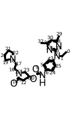 CCN(c1ccc(NC(=O)OC2CC(=O)N(CCN3CCCC3)C2)cc1)c1nc(C)cc(C)n1